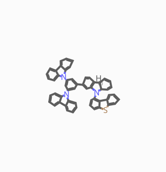 C1=CC2[C@H](C=C1)c1ccc(-c3cc(-n4c5ccccc5c5ccccc54)cc(-n4c5ccccc5c5ccccc54)c3)cc1N2c1cccc2sc3ccccc3c12